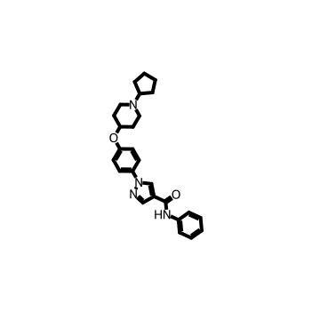 O=C(Nc1ccccc1)c1cnn(-c2ccc(OC3CCN(C4CCCC4)CC3)cc2)c1